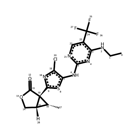 CCNc1nc(Nc2sc([C@]34C(=O)OC[C@H]3[C@H]4C)nc2Cl)ncc1C(F)(F)F